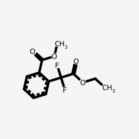 CCOC(=O)C(F)(F)c1ccccc1C(=O)OC